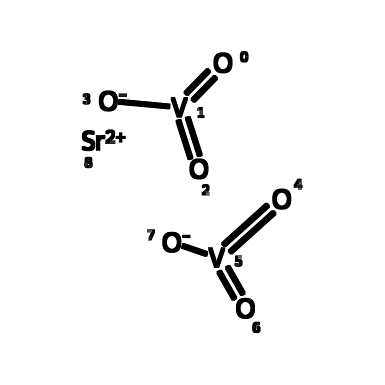 [O]=[V](=[O])[O-].[O]=[V](=[O])[O-].[Sr+2]